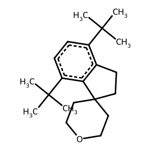 CC(C)(C)c1ccc(C(C)(C)C)c2c1CCC21CCOCC1